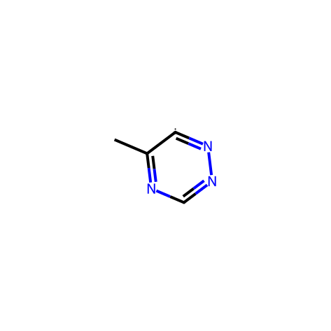 Cc1[c]nncn1